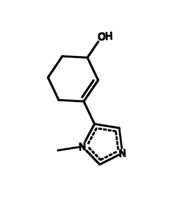 Cn1cncc1C1=CC(O)CCC1